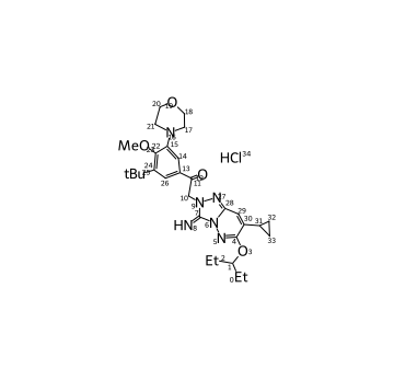 CCC(CC)Oc1nn2c(=N)n(CC(=O)c3cc(N4CCOCC4)c(OC)c(C(C)(C)C)c3)nc2cc1C1CC1.Cl